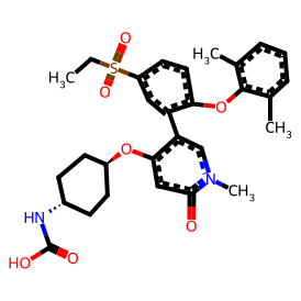 CCS(=O)(=O)c1ccc(Oc2c(C)cccc2C)c(-c2cn(C)c(=O)cc2O[C@H]2CC[C@H](NC(=O)O)CC2)c1